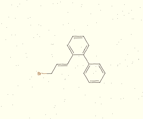 BrC/C=C/c1ccccc1-c1ccccc1